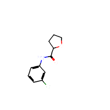 O=C(Nc1cccc(Cl)c1)C1CCCO1